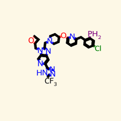 FC(F)(F)c1nnc(-c2cc3nc(CN4CCC(Oc5cccc(Cc6ccc(Cl)cc6P)n5)CC4)n(CC4CCO4)c3cn2)[nH]1